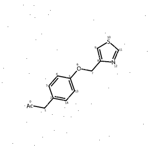 CC(=O)Cc1ccc(OCc2cscn2)cc1